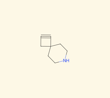 C1#CC2(C1)CCNCC2